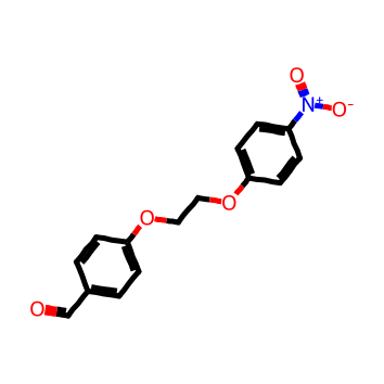 O=Cc1ccc(OCCOc2ccc([N+](=O)[O-])cc2)cc1